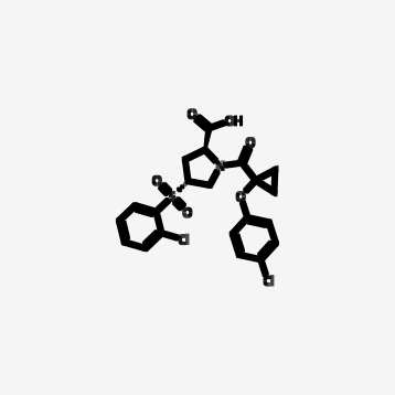 O=C(O)[C@@H]1C[C@@H](S(=O)(=O)c2ccccc2Cl)CN1C(=O)C1(Oc2ccc(Cl)cc2)CC1